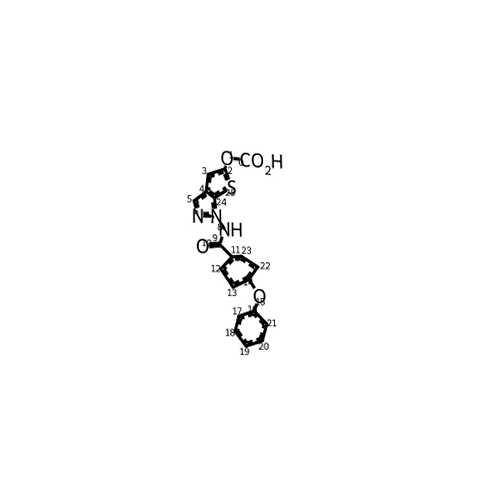 O=C(O)Oc1cc2cnn(NC(=O)c3ccc(Oc4ccccc4)cc3)c2s1